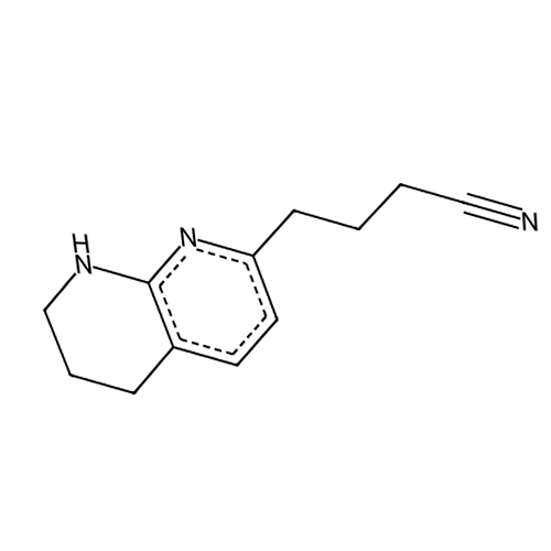 N#CCCCc1ccc2c(n1)NCCC2